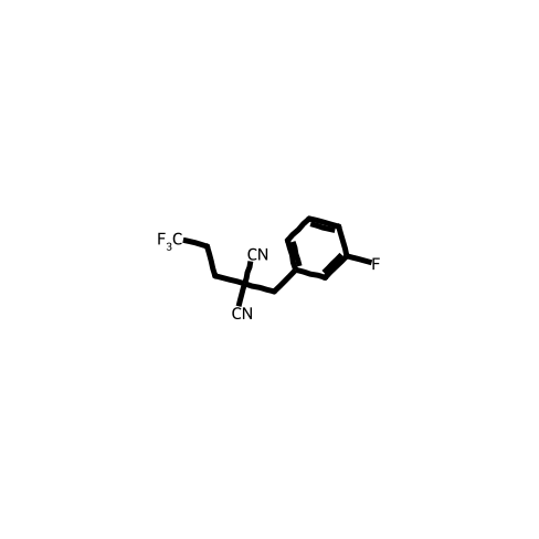 N#CC(C#N)(CCC(F)(F)F)Cc1cccc(F)c1